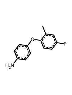 Cc1cc(F)ccc1Oc1ccc(N)cc1